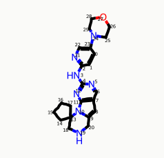 c1cc(Nc2ncc3cc4n(c3n2)C2(CCCC2)CNC4)ncc1N1CCOCC1